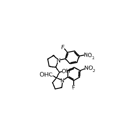 O=CC1(C(O)C2CCCN2c2ccc([N+](=O)[O-])cc2F)CCCN1c1ccc([N+](=O)[O-])cc1F